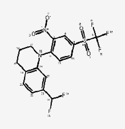 O=[N+]([O-])c1cc(S(=O)(=O)C(F)(F)F)ccc1N1CCCc2ccc(C(F)F)cc21